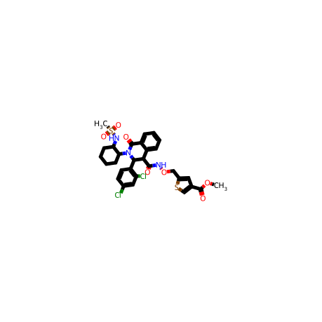 COC(=O)c1csc(CONC(=O)C2c3ccccc3C(=O)N(C3CCCCC3NS(C)(=O)=O)C2c2ccc(Cl)cc2Cl)c1